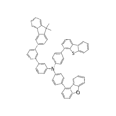 CC1(C)c2ccccc2-c2cc(-c3cccc(-c4cccc(N(c5ccc(-c6cccc7c6sc6ccccc67)cc5)c5ccc(-c6cccc7oc8ccccc8c67)cc5)c4)c3)ccc21